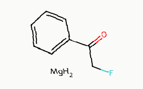 O=C(CF)c1ccccc1.[MgH2]